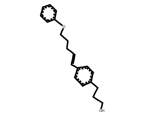 OCCCc1ccc(C=CCCCOc2ccccc2)cc1